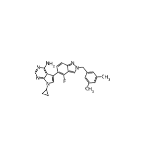 Cc1cc(C)cc(Cn2cc3c(F)c(-c4cn(C5CC5)c5ncnc(N)c45)ccc3n2)c1